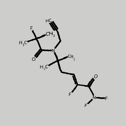 C#CCN(C(=O)C(C)(C)F)C(C)(C)C/C=C(\F)C(=O)N(F)F